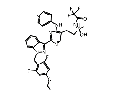 CCOc1cc(F)c(Cn2nc(-c3ncc(CC[SH](C)(O)=NC(=O)C(F)(F)F)c(Nc4ccncc4)n3)c3ccccc32)c(F)c1